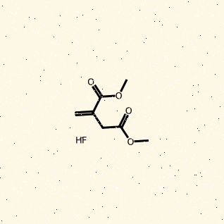 C=C(CC(=O)OC)C(=O)OC.F